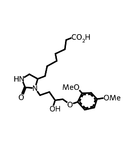 COc1ccc(OCC(O)CCN2C(=O)NCC2CCCCCCC(=O)O)c(OC)c1